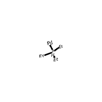 CC[PH]([Pd])(CC)CC